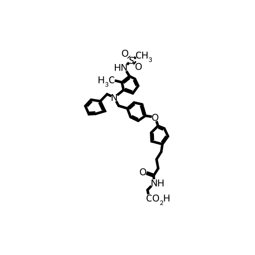 Cc1c(NS(C)(=O)=O)cccc1N(Cc1ccccc1)Cc1ccc(Oc2ccc(CCCC(=O)NCC(=O)O)cc2)cc1